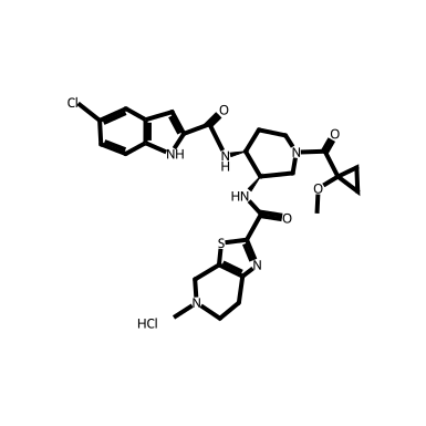 COC1(C(=O)N2CC[C@H](NC(=O)c3cc4cc(Cl)ccc4[nH]3)[C@H](NC(=O)c3nc4c(s3)CN(C)CC4)C2)CC1.Cl